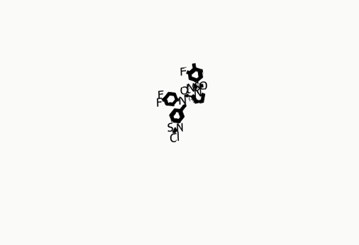 CN=[S@](=O)(c1ccc(C)c(F)c1)N1CCC[C@H]1C(=O)N(Cc1ccc2sc(Cl)nc2c1)C1CCC(F)(F)CC1